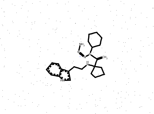 C=C(N(/N=N\N)C1CCCCC1)C1(NCCc2c[nH]c3ccccc23)CCCC1